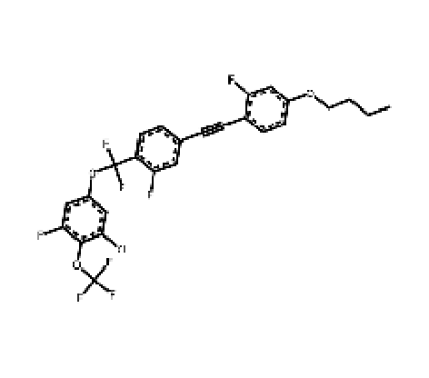 CCCCOc1ccc(C#Cc2ccc(C(F)(F)Oc3cc(F)c(OC(F)(F)F)c(Cl)c3)c(F)c2)c(F)c1